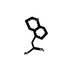 C=C(Cc1cccc2ncccc12)C(C)C